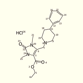 CCOC(=O)c1c(CN2CCC(c3ccccc3)CC2)n(C)c(=O)n1C.Cl